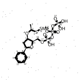 CSS[C@H](C)O[C@@H]1C[C@H](c2ccccc2)O[C@@H]1COP(=O)(O)OP(=O)(O)OP(=O)(O)O